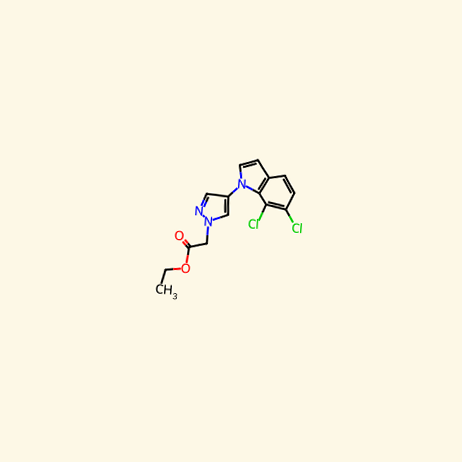 CCOC(=O)Cn1cc(-n2ccc3ccc(Cl)c(Cl)c32)cn1